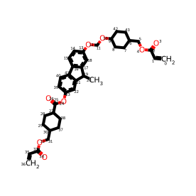 C=CC(=O)OCC1CCC(OCOc2ccc3c(c2)C(C)c2cc(OC(=O)C4CCC(COC(=O)C=C)CC4)ccc2-3)CC1